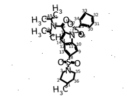 CC1CCN(S(=O)(=O)c2ccc3c(c2)cc(C(=O)N(C(C)C)C(C)C)n3S(=O)(=O)c2ccccc2)CC1